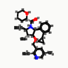 COc1ncc(C(F)(F)F)cc1CO[C@H]1[C@H](C(C)(C)C)[C@@H](C(=O)O)N(C(=O)[C@@H]2CCCCO2)[C@H]1c1ccccc1C1CC1